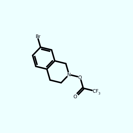 O=C(ON1CCc2ccc(Br)cc2C1)C(F)(F)F